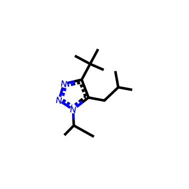 CC(C)Cc1c(C(C)(C)C)nnn1C(C)C